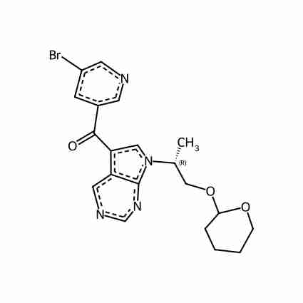 C[C@H](COC1CCCCO1)n1cc(C(=O)c2cncc(Br)c2)c2cncnc21